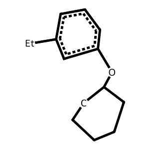 [CH2]Cc1cccc(OC2CCCCC2)c1